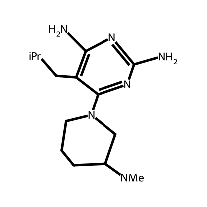 CNC1CCCN(c2nc(N)nc(N)c2CC(C)C)C1